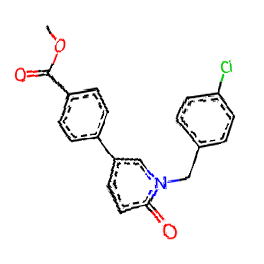 COC(=O)c1ccc(-c2ccc(=O)n(Cc3ccc(Cl)cc3)c2)cc1